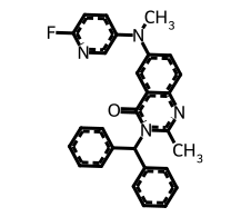 Cc1nc2ccc(N(C)c3ccc(F)nc3)cc2c(=O)n1C(c1ccccc1)c1ccccc1